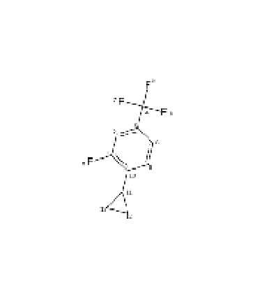 Fc1cc(C(F)(F)F)ccc1C1CC1